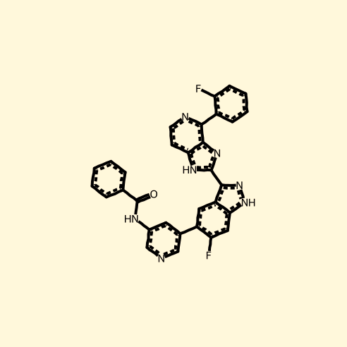 O=C(Nc1cncc(-c2cc3c(-c4nc5c(-c6ccccc6F)nccc5[nH]4)n[nH]c3cc2F)c1)c1ccccc1